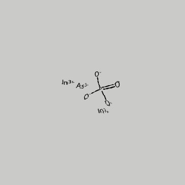 O=P([O-])([O-])[O-].[As-3].[In+3].[In+3]